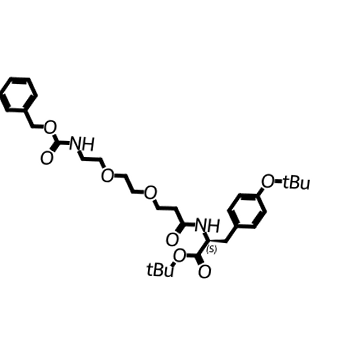 CC(C)(C)OC(=O)[C@H](Cc1ccc(OC(C)(C)C)cc1)NC(=O)CCOCCOCCNC(=O)OCc1ccccc1